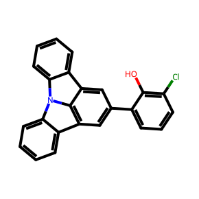 Oc1c(Cl)cccc1-c1cc2c3ccccc3n3c4ccccc4c(c1)c23